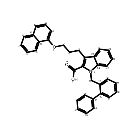 O=C(O)c1c(CCCOc2cccc3ccccc23)c2ccccc2n1Cc1ccccc1-c1ccccc1